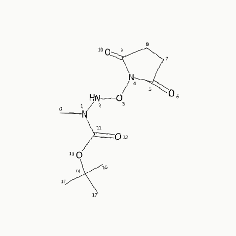 CN(NON1C(=O)CCC1=O)C(=O)OC(C)(C)C